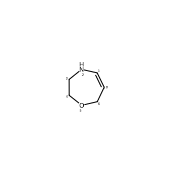 [C]1=CNCCOC1